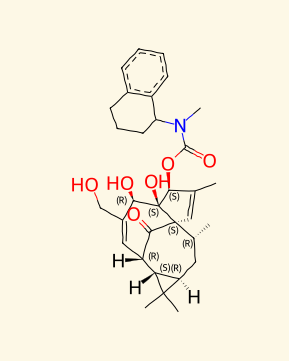 CC1=C[C@]23C(=O)[C@@H](C=C(CO)[C@@H](O)[C@]2(O)[C@H]1OC(=O)N(C)C1CCCc2ccccc21)[C@@H]1[C@@H](C[C@H]3C)C1(C)C